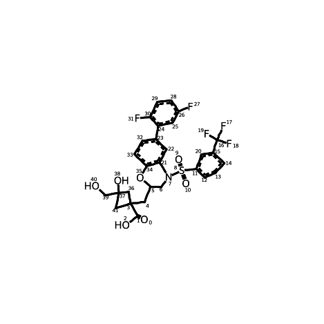 O=C(O)C1(CC2CN(S(=O)(=O)c3cccc(C(F)(F)F)c3)c3cc(-c4cc(F)ccc4F)ccc3O2)CC(O)(CO)C1